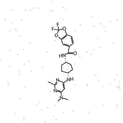 Cc1nc(N[C@H]2CC[C@@H](NC(=O)c3ccc4c(c3)OC(F)(F)O4)CC2)cc(N(C)C)n1